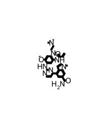 C=CC(=O)Nc1cc(Nc2nccc(-c3cc(C(N)=O)cc4c3ccn4C)n2)c(OC)cc1N(C)CCN(C)C